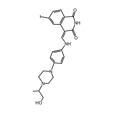 CC(CO)N1CCN(c2ccc(NC=C3C(=O)NC(=O)c4ccc(I)cc43)cc2)CC1